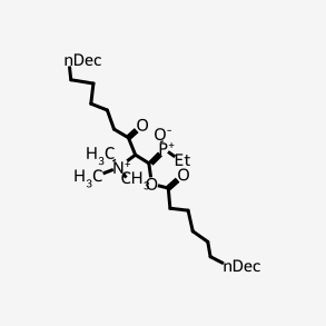 CCCCCCCCCCCCCCCC(=O)O/C(C(C(=O)CCCCCCCCCCCCCCC)[N+](C)(C)C)=[P+](/[O-])CC